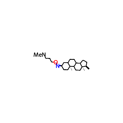 C=C1CCC2C3CCC4CC(=NOCCCNC)CC[C@]4(C)C3CC[C@]12C